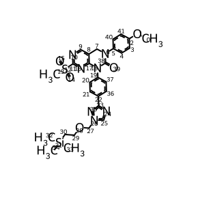 COc1ccc(N2Cc3cnc(S(C)(=O)=O)nc3N(c3ccc(-c4ncn(COCC[Si](C)(C)C)n4)cc3)C2=O)cc1